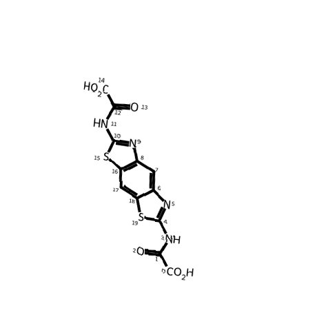 O=C(O)C(=O)Nc1nc2cc3nc(NC(=O)C(=O)O)sc3cc2s1